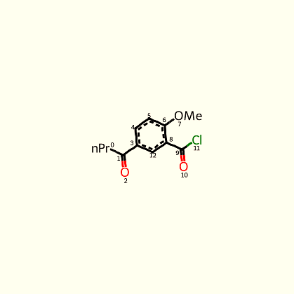 CCCC(=O)c1ccc(OC)c(C(=O)Cl)c1